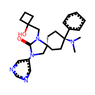 CN(C)[C@]1(c2ccccc2)CC[C@]2(CC1)CN(c1cncnc1)C(=O)N2CC1(O)CCC1